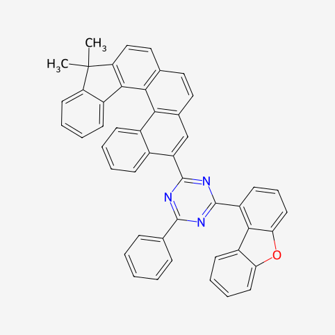 CC1(C)c2ccccc2-c2c1ccc1ccc3cc(-c4nc(-c5ccccc5)nc(-c5cccc6oc7ccccc7c56)n4)c4ccccc4c3c21